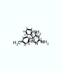 Cc1ccc(C2(c3ccccc3)NN=C(N)N=C2N)cc1